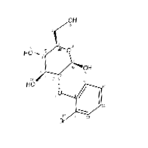 OC[C@H]1O[C@@H](O)[C@H](Oc2ccccc2Br)[C@@H](O)[C@@H]1O